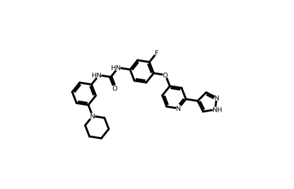 O=C(Nc1cccc(N2CCCCC2)c1)Nc1ccc(Oc2ccnc(-c3cn[nH]c3)c2)c(F)c1